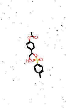 CC(=O)Oc1ccc(C(CO)OS(=O)(=O)c2ccc(C)cc2)cc1